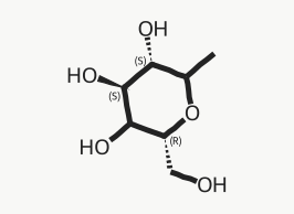 CC1O[C@H](CO)C(O)[C@@H](O)[C@@H]1O